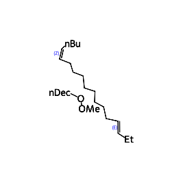 CC/C=C/CCCCCCCC/C=C\CCCC.CCCCCCCCCCOOC